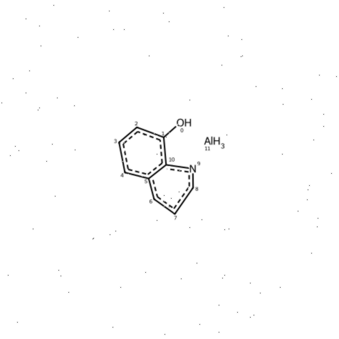 Oc1cccc2cccnc12.[AlH3]